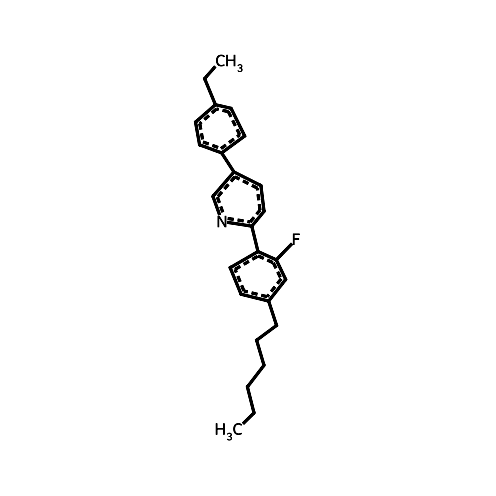 CCCCCCc1ccc(-c2ccc(-c3ccc(CC)cc3)cn2)c(F)c1